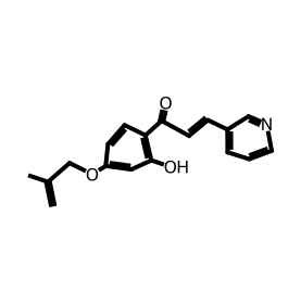 C=C(C)COc1ccc(C(=O)C=Cc2cccnc2)c(O)c1